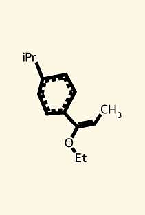 C/C=C(/OCC)c1ccc(C(C)C)cc1